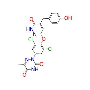 Cc1nn(-c2cc(Cl)c(Oc3cc(Cc4ccc(O)cc4)c(=O)[nH]n3)c(Cl)c2)c(=O)[nH]c1=O